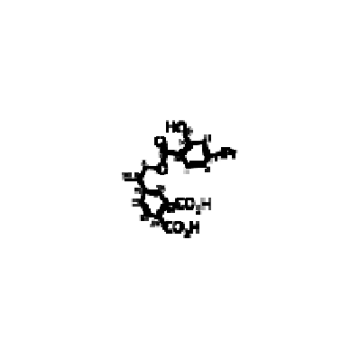 CC(C)c1ccc(C(=O)OCC(C)c2ccc(C(=O)O)c(C(=O)O)c2)c(O)c1